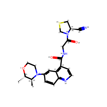 C[C@@H]1OCCN(c2ccc3nccc(C(=O)NCC(=O)N4CSC[C@H]4C#N)c3c2)[C@H]1C